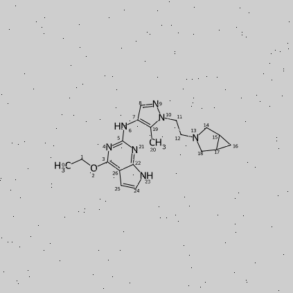 CCOc1nc(Nc2cnn(CCN3CC4CC4C3)c2C)nc2[nH]ccc12